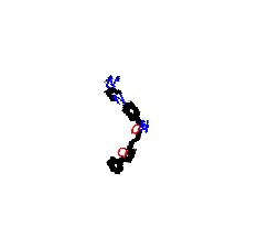 CN(C)C1CCN(c2ccc(-c3nnc(CCc4ccc(-c5ccccc5)o4)o3)cc2)C1